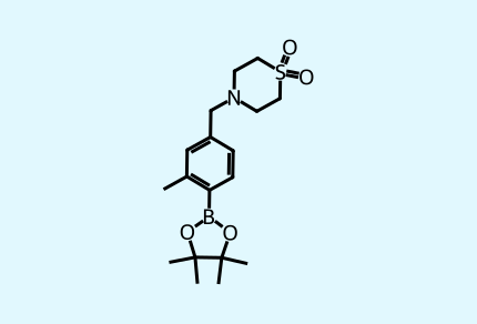 Cc1cc(CN2CCS(=O)(=O)CC2)ccc1B1OC(C)(C)C(C)(C)O1